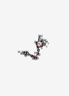 CC(C)[C@@H]1NC(=O)[C@]2(C)CSC(=N2)c2nc(sc2-c2ccc(CNC(=O)CC[C@H](NC(=O)c3ccc(NCc4cnc5nc(N)[nH]c(=O)c5n4)cc3)C(=O)O)cc2)CNC(=O)C[C@@H](/C=C/CCS)NC1=O